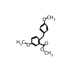 COC(=O)c1cc(OC)ccc1Cc1ccc(OC)cc1